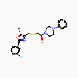 Cc1oc(-c2cccc(F)c2)nc1CSCC(=O)N1CCN(c2ccccc2)CC1